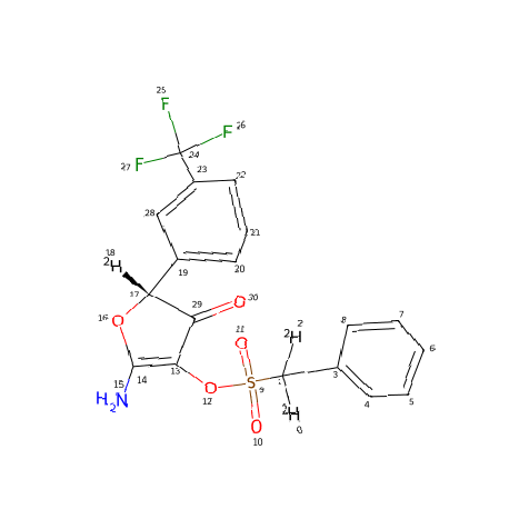 [2H]C([2H])(c1ccccc1)S(=O)(=O)OC1=C(N)O[C@]([2H])(c2cccc(C(F)(F)F)c2)C1=O